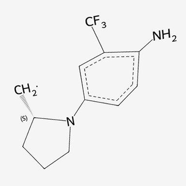 [CH2][C@H]1CCCN1c1ccc(N)c(C(F)(F)F)c1